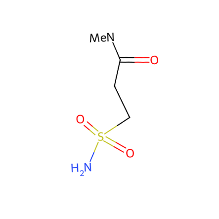 CNC(=O)CCS(N)(=O)=O